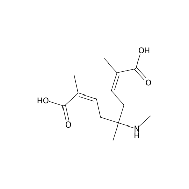 CNC(C)(CC=C(C)C(=O)O)CC=C(C)C(=O)O